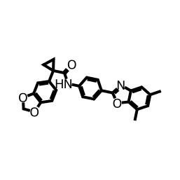 Cc1cc(C)c2oc(-c3ccc(NC(=O)C4(c5ccc6c(c5)OCO6)CC4)cc3)nc2c1